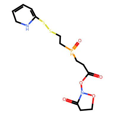 O=C(CC[PH](=O)CCSSC1=CC=CCN1)ON1OCCC1=O